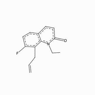 C=CCc1c(F)ccc2ccc(=O)n(CC)c12